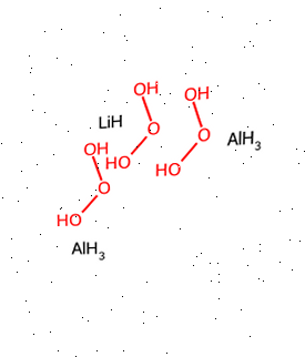 OOO.OOO.OOO.[AlH3].[AlH3].[LiH]